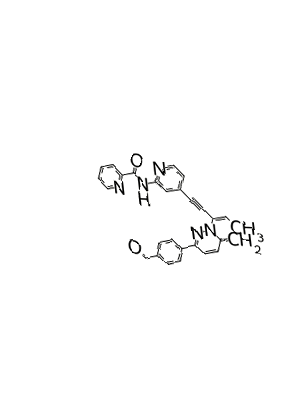 C=C1C=CC(c2ccc(C=O)cc2)=NN1/C(C#Cc1ccnc(NC(=O)c2ccccn2)c1)=C\C